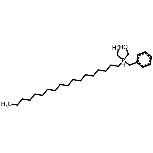 CCCCCCCCCCCCCCCCCC[PH](CO)(CO)Cc1ccccc1